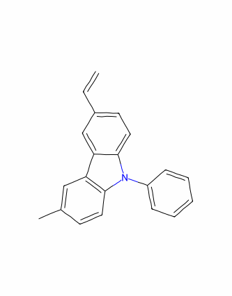 C=Cc1ccc2c(c1)c1cc(C)ccc1n2-c1ccccc1